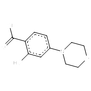 O=C(O)c1ccc(N2CCOCC2)cc1O